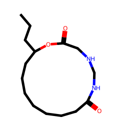 CCCC1CCCCCCCC(=O)NCNCC(=O)O1